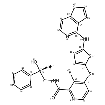 CCC[C@@](O)(CNC(=O)c1nccc(Sc2cnc(Nc3nccc4sccc34)s2)c1F)c1ccccc1